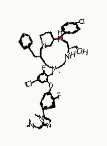 C[C@H]1CN[C@H](CO)CN[C@@]2(Cc3ccc(Cl)cc3)CCCN(C[C@H](Cc3ccccc3)CCN1Cc1c(F)cc(Cl)cc1Oc1ccc(-c3cnc(CN(C)C)n3C)cc1F)C2